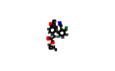 CCOC(=O)Cc1ccc(OC)cc1-c1cccc(F)c1C#N